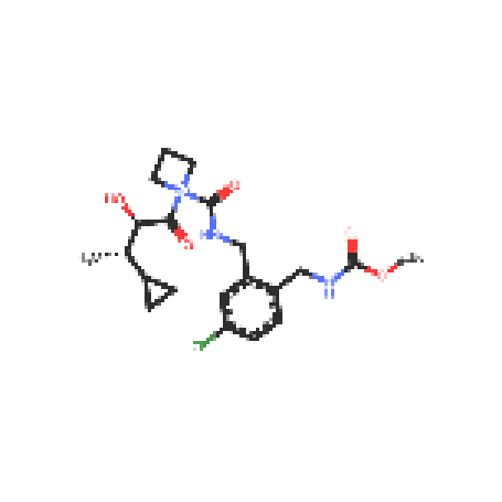 C[C@@H](C1CC1)[C@@H](O)C(=O)[N+]1(C(=O)NCc2cc(Cl)ccc2CNC(=O)OC(C)(C)C)CCC1